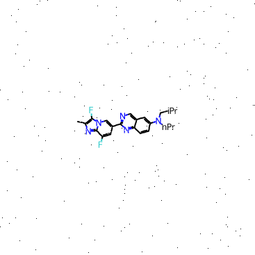 CCCN(CC(C)C)c1ccc2nc(-c3cc(F)c4nc(C)c(F)n4c3)ncc2c1